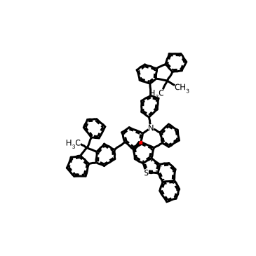 CC1(C)c2ccccc2-c2cccc(-c3ccc(N(c4ccc(-c5ccc6c(c5)C(C)(c5ccccc5)c5ccccc5-6)cc4)c4ccccc4-c4cccc5sc6c7ccccc7ccc6c45)cc3)c21